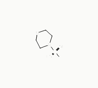 CS(=N)(=N)N1CCNCC1